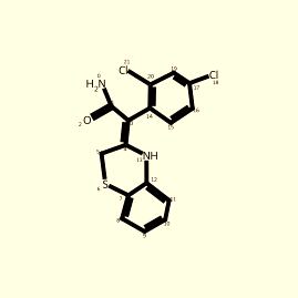 NC(=O)/C(=C1\CSc2ccccc2N1)c1ccc(Cl)cc1Cl